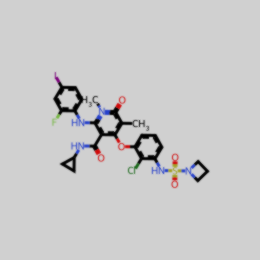 Cc1c(Oc2cccc(NS(=O)(=O)N3CCC3)c2Cl)c(C(=O)NC2CC2)c(Nc2ccc(I)cc2F)n(C)c1=O